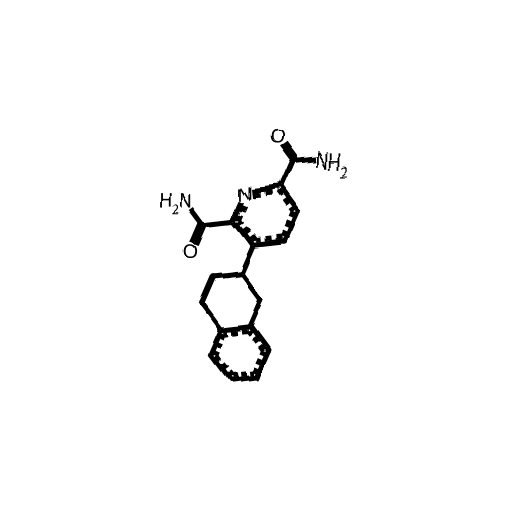 NC(=O)c1ccc(C2CCc3ccccc3C2)c(C(N)=O)n1